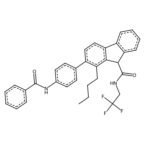 CCCCc1c(-c2ccc(NC(=O)c3ccccc3)cc2)ccc2c1C(C(=O)NCC(F)(F)F)c1ccccc1-2